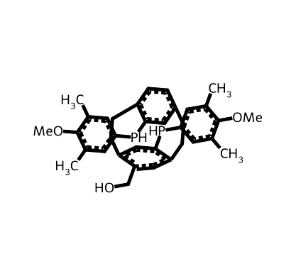 COc1c(C)cc(Pc2cc3c(CO)cc2CCc2ccc(c(Pc4cc(C)c(OC)c(C)c4)c2)CC3)cc1C